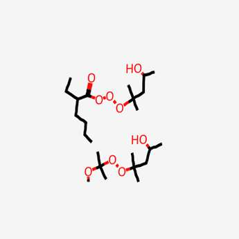 CCCCC(CC)C(=O)OOOC(C)(C)CC(C)O.COC(C)(C)OOC(C)(C)CC(C)O